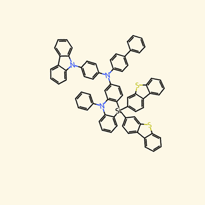 c1ccc(-c2ccc(N(c3ccc(-n4c5ccccc5c5ccccc54)cc3)c3ccc4c(c3)N(c3ccccc3)c3ccccc3[Si]4(c3ccc4c(c3)sc3ccccc34)c3ccc4c(c3)sc3ccccc34)cc2)cc1